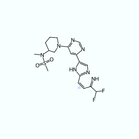 CN(C1CCCN(c2cc(-c3cnc(/C=C\C(=N)C(F)F)[nH]3)ncn2)C1)S(C)(=O)=O